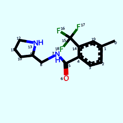 Cc1ccc(C(=O)NCC2CCCN2)c(C(F)(F)F)c1